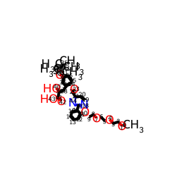 COCCOCCOCCOc1ccccc1-c1nccc(COc2ccc(O[Si](C)(C)C(C)(C)C)cc2CC(O)C(=O)O)n1